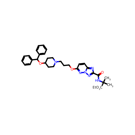 CCOC(=O)C(C)(C)NC(=O)c1nc2ccc(OCCCN3CCC(OC(c4ccccc4)c4ccccc4)CC3)nn2n1